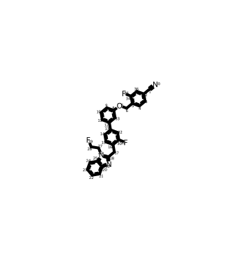 N#Cc1ccc(COc2cccc(-c3ccc(Cc4nc5ccccc5n4CCF)c(F)c3)c2)c(F)c1